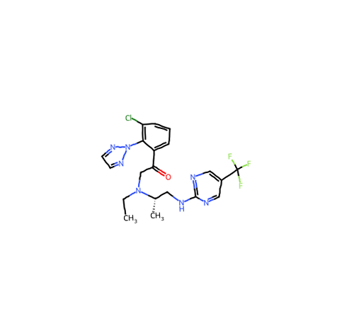 CCN(CC(=O)c1cccc(Cl)c1-n1nccn1)[C@@H](C)CNc1ncc(C(F)(F)F)cn1